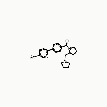 CC(=O)c1ccc(-c2ccc(C(=O)N3CCCC3CN3CCCC3)cc2)nc1